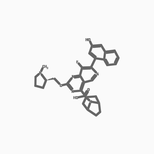 CN1CCC[C@H]1COc1nc(N2CC3CCC(C2)N3C(=O)O)c2cnc(-c3cc(O)cc4ccccc34)c(F)c2n1